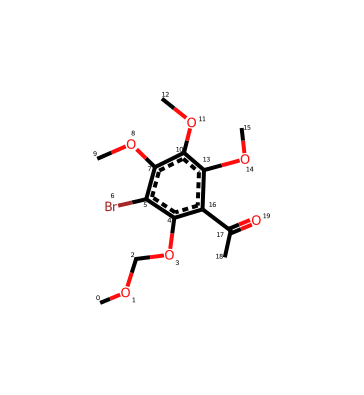 COCOc1c(Br)c(OC)c(OC)c(OC)c1C(C)=O